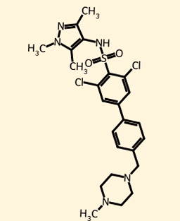 Cc1nn(C)c(C)c1NS(=O)(=O)c1c(Cl)cc(-c2ccc(CN3CCN(C)CC3)cc2)cc1Cl